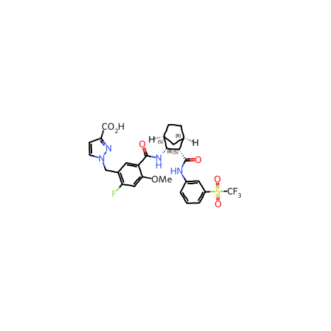 COc1cc(F)c(Cn2ccc(C(=O)O)n2)cc1C(=O)N[C@@H]1[C@H]2CC[C@H](C2)[C@@H]1C(=O)Nc1cccc(S(=O)(=O)C(F)(F)F)c1